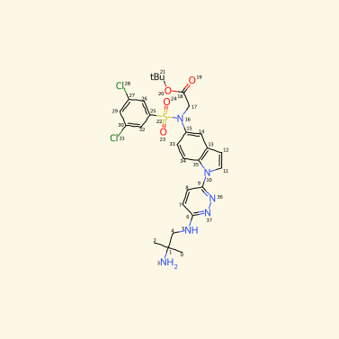 CC(C)(N)CNc1ccc(-n2ccc3cc(N(CC(=O)OC(C)(C)C)S(=O)(=O)c4cc(Cl)cc(Cl)c4)ccc32)nn1